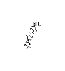 Nc1ccc(CCc2ccc(-c3ccccc3)cc2)cc1